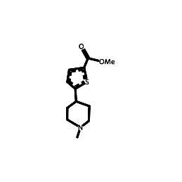 COC(=O)c1ccc(C2CCN(C)CC2)s1